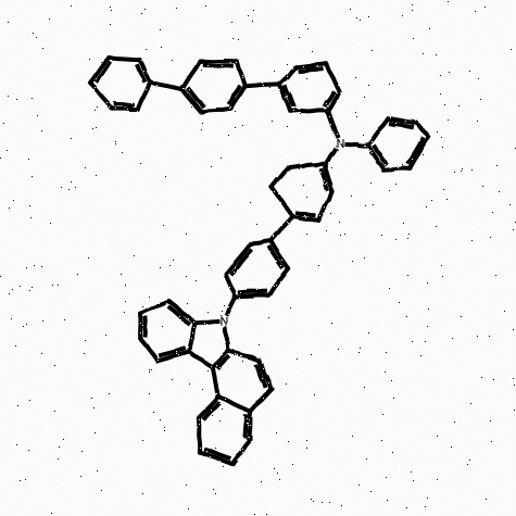 C1=C(c2ccc(-n3c4ccccc4c4c5ccccc5ccc43)cc2)CCC(N(c2ccccc2)c2cccc(-c3ccc(-c4ccccc4)cc3)c2)=C1